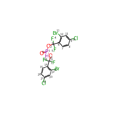 O=[PH](OC(F)(F)c1ccc(Cl)cc1Br)OC(F)(F)c1ccc(Cl)cc1Br